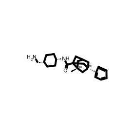 C[C@]12CC3CC1(C(=O)N[C@H]1CC[C@@H](CN)CC1)C[C@@](c1ccccc1)(C3)C2